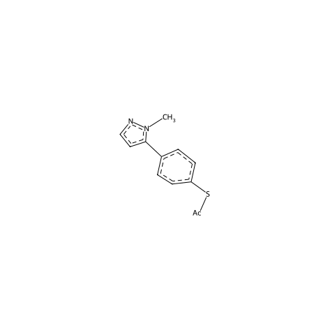 CC(=O)Sc1ccc(-c2ccnn2C)cc1